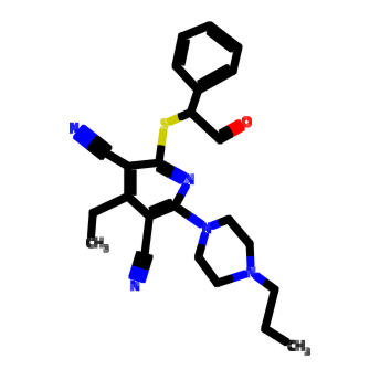 CCCN1CCN(c2nc(SC([C]=O)c3ccccc3)c(C#N)c(CC)c2C#N)CC1